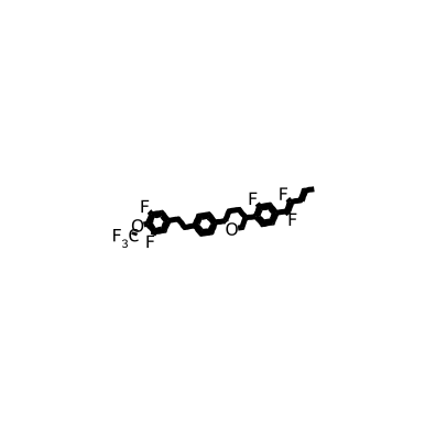 C/C=C/C(F)=C(\F)c1ccc(C2CCC(c3ccc(CCc4cc(F)c(OC(F)(F)F)c(F)c4)cc3)OC2)c(F)c1